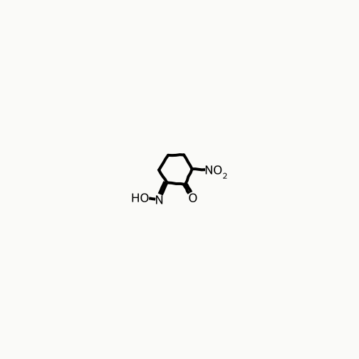 O=C1C(=NO)CCCC1[N+](=O)[O-]